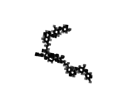 COC(OC(=O)/C=C\C(=O)OC(OC)C(=O)NC/C=C/c1ccc2ncnc(Nc3ccc(Oc4ccc(C)nc4)c(C)c3)c2c1)C(=O)NC/C=C/c1ccc2ncnc(Nc3ccc(Oc4ccc(C)nc4)c(C)c3)c2c1